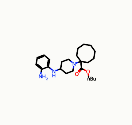 CCCCOC(=O)C1(N2CCC(Nc3ccccc3N)CC2)CCCCCCC1